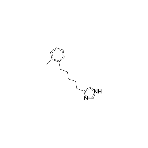 Cc1ccccc1CCCCCc1c[nH]cn1